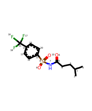 CC(C)CCC(=O)NS(=O)(=O)c1ccc(C(F)(F)F)cc1